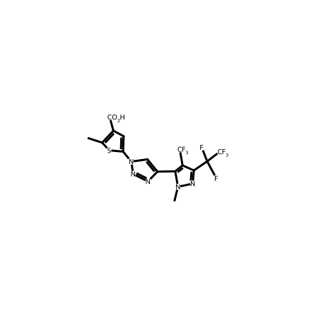 Cc1sc(-n2cc(-c3c(C(F)(F)F)c(C(F)(F)C(F)(F)F)nn3C)nn2)cc1C(=O)O